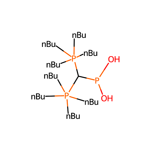 CCCCP(CCCC)(CCCC)(CCCC)C(P(O)O)P(CCCC)(CCCC)(CCCC)CCCC